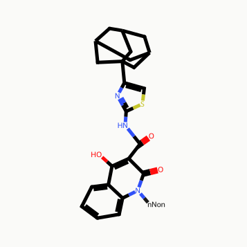 CCCCCCCCCn1c(=O)c(C(=O)Nc2nc(C34CC5CC(CC(C5)C3)C4)cs2)c(O)c2ccccc21